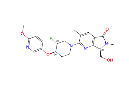 COc1ccc(O[C@@H]2CCN(c3nc4c(cc3C)C(=O)N(C)[C@H]4CO)C[C@H]2F)cn1